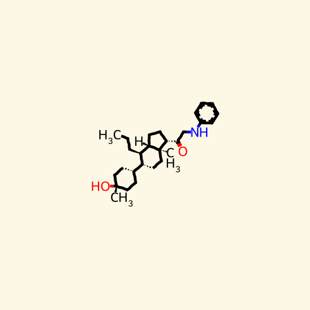 CCC[C@H]1[C@@H]2CC[C@H](C(=O)CNc3ccccc3)[C@@]2(C)CC[C@@H]1[C@H]1CC[C@@](C)(O)CC1